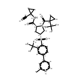 Cc1cc(-c2ccc(S(=O)(=O)[C@@H]3C[C@@H](C(=O)NC4(C#N)CC4)N(C(=O)C4(C(F)(F)F)CC4)C3)c(C(F)(F)F)c2)ccn1